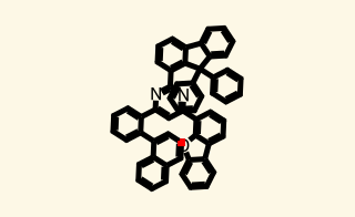 c1ccc(C2(c3ccccc3)c3ccccc3-c3cccc(-c4nc(-c5ccccc5-c5cccc6ccccc56)cc(-c5cccc6c5oc5ccccc56)n4)c32)cc1